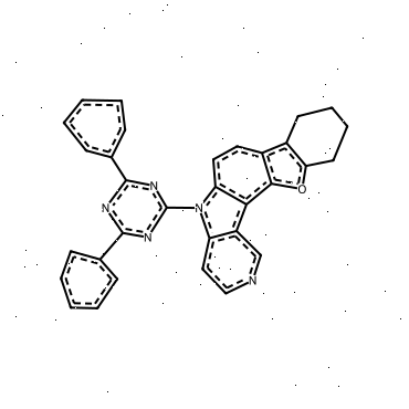 c1ccc(-c2nc(-c3ccccc3)nc(-n3c4ccncc4c4c5oc6c(c5ccc43)CCCC6)n2)cc1